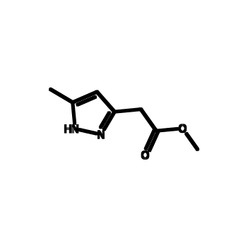 COC(=O)Cc1cc(C)[nH]n1